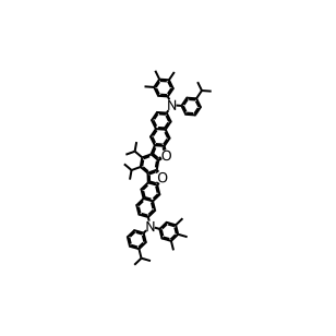 Cc1cc(N(c2cccc(C(C)C)c2)c2ccc3cc4c(cc3c2)oc2c3oc5cc6cc(N(c7cccc(C(C)C)c7)c7cc(C)c(C)c(C)c7)ccc6cc5c3c(C(C)C)c(C(C)C)c42)cc(C)c1C